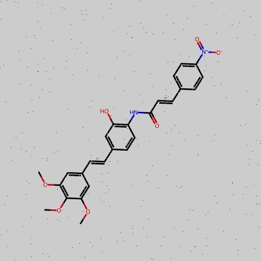 COc1cc(/C=C/c2ccc(NC(=O)/C=C/c3ccc([N+](=O)[O-])cc3)c(O)c2)cc(OC)c1OC